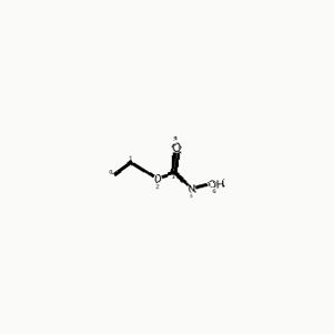 CCOC(=O)[N]O